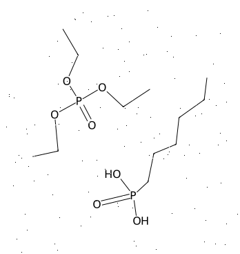 CCCCCCP(=O)(O)O.CCOP(=O)(OCC)OCC